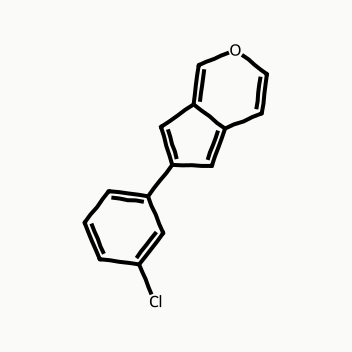 Clc1cccc(-c2cc3ccocc-3c2)c1